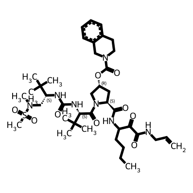 C=CCNC(=O)C(=O)C(CCCC)NC(=O)[C@@H]1C[C@@H](OC(=O)N2CCc3ccccc3C2)CN1C(=O)[C@@H](NC(=O)N[C@H](CN(C)S(C)(=O)=O)C(C)(C)C)C(C)(C)C